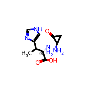 CC(c1c[nH]cn1)[C@H](N)C(=O)O.NC1CC1=O